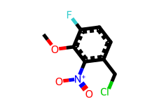 COc1c(F)ccc(CCl)c1[N+](=O)[O-]